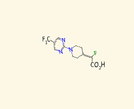 O=C(O)C(F)=C1CCN(c2ncc(C(F)(F)F)cn2)CC1